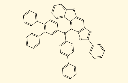 c1ccc(-c2ccc(N(c3ccc(-c4ccccc4)c(-c4ccccc4)c3)c3c4oc(-c5ccccc5)nc4cc4oc5ccccc5c34)cc2)cc1